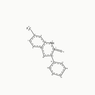 O=c1[nH]c2cc(C(F)(F)F)ccc2cc1-c1ccccc1